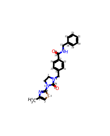 Cc1csc(N2CCN(Cc3ccc(C(=O)NCc4ccccc4)cc3)C2=O)n1